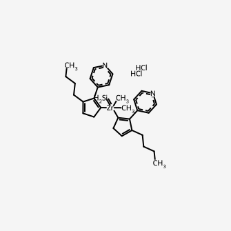 CCCCC1=CC[C]([Zr]([CH3])([CH3])(=[SiH2])[C]2=C(c3ccncc3)C(CCCC)=CC2)=C1c1ccncc1.Cl.Cl